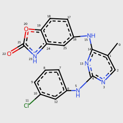 Cc1cnc(Nc2cccc(Cl)c2)nc1Nc1ccc2oc(=O)[nH]c2c1